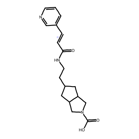 O=C(/C=C/c1cccnc1)NCCC1CC2CN(C(=O)O)CC2C1